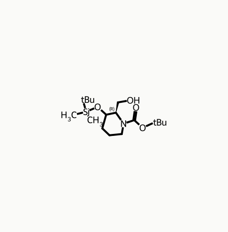 CC(C)(C)OC(=O)N1CCCC(O[Si](C)(C)C(C)(C)C)[C@H]1CO